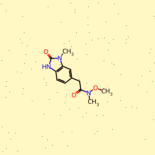 CON(C)C(=O)Cc1ccc2[nH]c(=O)n(C)c2c1